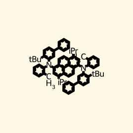 Cc1ccccc1N(c1cc(-c2ccccc2)ccc1C(C)(C)C)c1cc(C(C)C)c2ccc3c(N(c4ccccc4C)c4cc(-c5ccccc5)ccc4C(C)(C)C)cc(C(C)C)c4ccc1c2c43